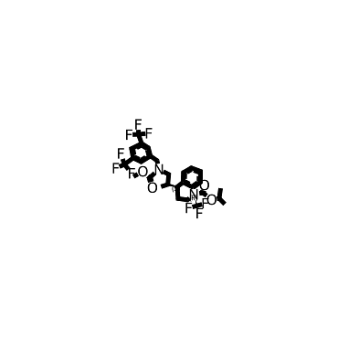 COC(=O)N(Cc1cc(C(F)(F)F)cc(C(F)(F)F)c1)CC(C)[C@@H]1CC[N@@+](C(=O)OC(C)C)(C(F)(F)F)c2ccccc21